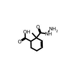 CC1(C(=O)NN)C=CCCC1C(=O)O